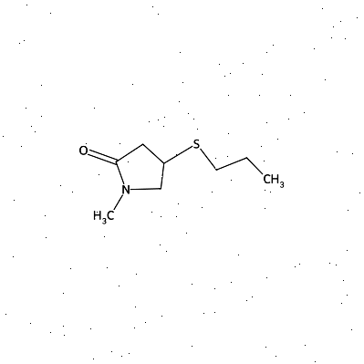 CCCSC1CC(=O)N(C)C1